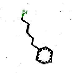 BrCC=CCCc1ccccc1